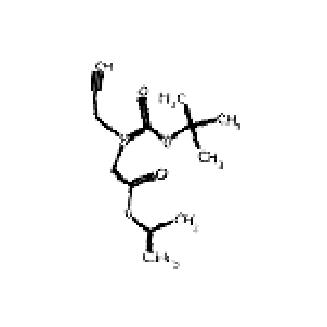 C#CCN(CC(=O)OC(C)C)C(=O)OC(C)(C)C